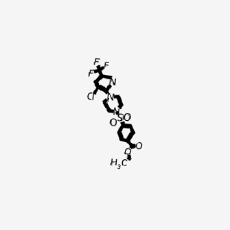 CCOC(=O)c1ccc(S(=O)(=O)N2CCN(c3ncc(C(F)(F)F)cc3Cl)CC2)cc1